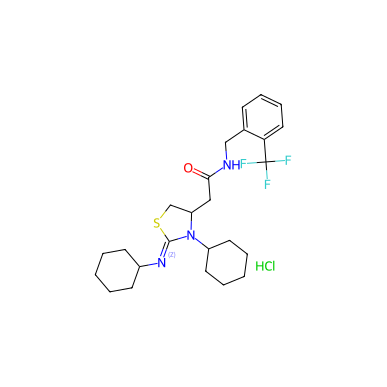 Cl.O=C(CC1CS/C(=N\C2CCCCC2)N1C1CCCCC1)NCc1ccccc1C(F)(F)F